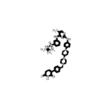 Cc1cnc(Nc2ccc(N3CCC(N4CCN(Cc5ccc(C6CCC(=O)NC6=O)cc5)CC4)CC3)cc2)nc1Nc1cccc(S(=O)(=O)NC(C)(C)C)c1